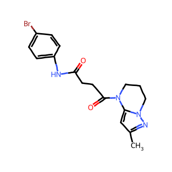 Cc1cc2n(n1)CCCN2C(=O)CCC(=O)Nc1ccc(Br)cc1